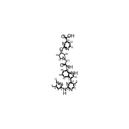 Cc1cnc(Nc2cc(C)n(C)n2)nc1-c1c[nH]c2c(NC(=O)CN3CC[C@H](Oc4nccc(C(=O)O)n4)C3)cccc12